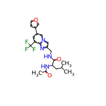 CC(=O)NC(CC(C)C)C(=O)NCc1cn2cc(-c3ccoc3)cc(C(F)(F)F)c2n1